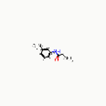 O=C(C[N+](=O)[O-])Nc1cccc([N+](=O)[O-])c1